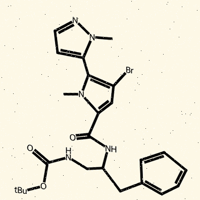 Cn1nccc1-c1c(Br)cc(C(=O)NC(CNC(=O)OC(C)(C)C)Cc2ccccc2)n1C